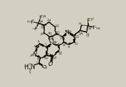 NC(=O)c1nccc2[nH]c(-c3ccc(C4CC(F)(F)C4)nc3C3CCC(C(F)(F)F)CC3)cc(=O)c12